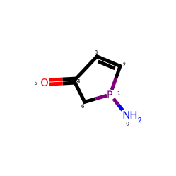 NP1C=CC(=O)C1